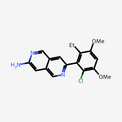 CCc1c(OC)cc(OC)c(Cl)c1-c1cc2cnc(N)cc2cn1